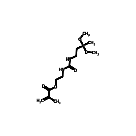 C=C(C)C(=O)OCCNC(=O)NCC[Si](C)(OC)OC